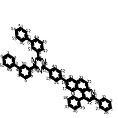 c1ccc(-c2cccc(-c3nc(-c4ccc(-c5ccc6c(ccc7nc(-c8ccccc8)cc(-c8ccccc8)c76)c5)cc4)nc(-c4cccc(-c5ccccc5)c4)n3)c2)cc1